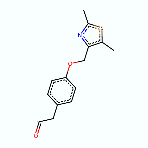 Cc1nc(COc2ccc(C[C]=O)cc2)c(C)s1